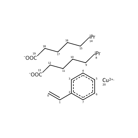 C=Cc1ccccc1.CC(C)CCCCC(=O)[O-].CC(C)CCCCC(=O)[O-].[Cu+2]